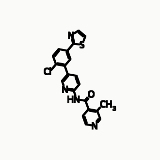 Cc1cnccc1C(=O)Nc1ccc(-c2cc(-c3nccs3)ccc2Cl)cn1